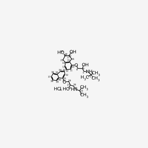 CC(C)(C)NCC(O)COc1cccc2c1C[C@H](O)[C@H](O)C2.CC(C)NCC(O)COc1cccc2ccccc12.Cl